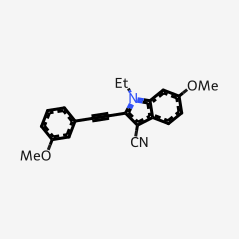 CCn1c(C#Cc2cccc(OC)c2)c(C#N)c2ccc(OC)cc21